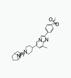 Cc1cc(C2CCN(C3CC4CCC(C3)N4C(C)C)CC2)cn2cc(-c3ccc(S(C)(=O)=O)cc3)nc12